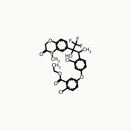 CCOC(=O)c1cc(Oc2ccc(C(C)C(O)(c3ccc4c(c3)N(C)C(=O)CO4)C(F)(F)F)c(Cl)c2)ccc1Cl